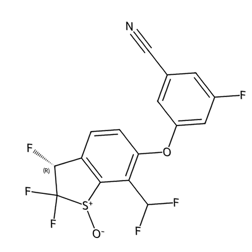 N#Cc1cc(F)cc(Oc2ccc3c(c2C(F)F)[S+]([O-])C(F)(F)[C@@H]3F)c1